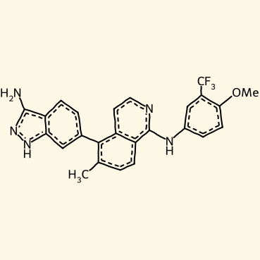 COc1ccc(Nc2nccc3c(-c4ccc5c(N)n[nH]c5c4)c(C)ccc23)cc1C(F)(F)F